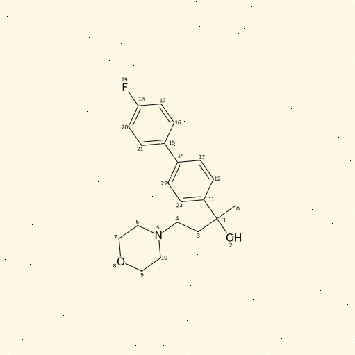 CC(O)(CCN1CCOCC1)c1ccc(-c2ccc(F)cc2)cc1